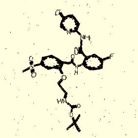 CC(C)(C)OC(=O)NCCOc1cc(S(C)(=O)=O)ccc1C(=O)Nc1ccc(F)cc1C(=O)Nc1ccc(Cl)cn1